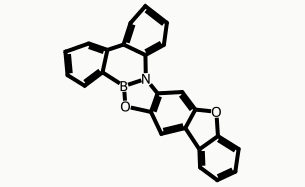 c1ccc2c(c1)B1Oc3cc4c(cc3N1c1ccccc1-2)oc1ccccc14